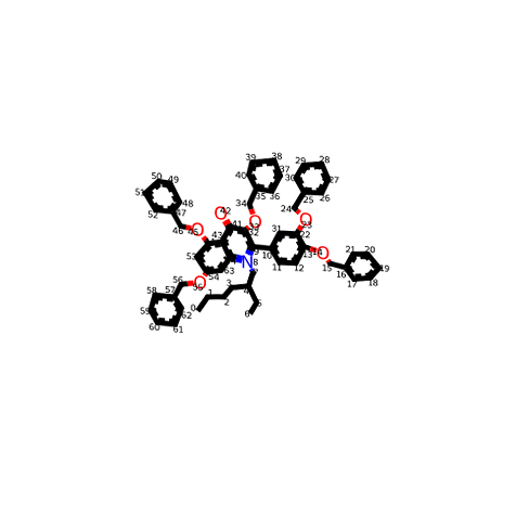 CCCCC(CC)Cn1c(-c2ccc(OCc3ccccc3)c(OCc3ccccc3)c2)c(OCc2ccccc2)c(=O)c2c(OCc3ccccc3)cc(OCc3ccccc3)cc21